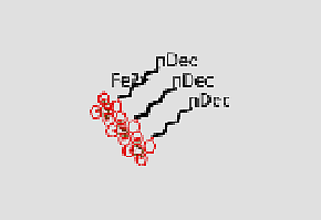 CCCCCCCCCCCCCCCCOS(=O)(=O)[O-].CCCCCCCCCCCCCCCCOS(=O)(=O)[O-].CCCCCCCCCCCCCCCCOS(=O)(=O)[O-].[Fe+3]